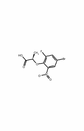 C[C@@H](Oc1c(F)cc(Br)cc1[N+](=O)[O-])C(=O)O